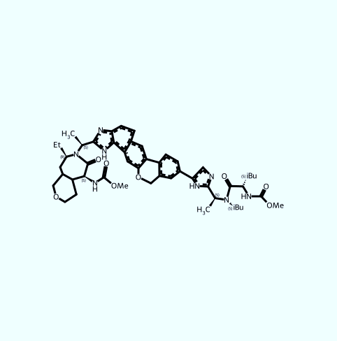 CC[C@@H]1CC2COCCC2[C@H](NC(=O)OC)C(=O)N1[C@@H](C)c1nc2ccc3cc4c(cc3c2[nH]1)OCc1cc(-c2cnc([C@H](C)N(C(=O)C(NC(=O)OC)[C@@H](C)CC)[C@@H](C)CC)[nH]2)ccc1-4